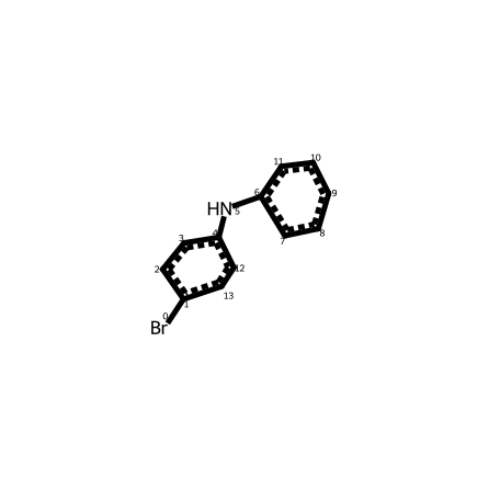 Brc1ccc(Nc2[c]cccc2)cc1